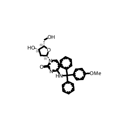 COc1ccc(C(Nc2ccn([C@@H]3C[C@H](O)[C@H](CO)O3)c(=O)n2)(c2ccccc2)c2ccccc2)cc1